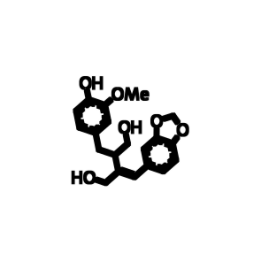 COc1cc(CC(CO)C(=Cc2ccc3c(c2)OCO3)CO)ccc1O